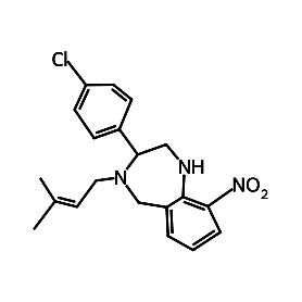 CC(C)=CCN1Cc2cccc([N+](=O)[O-])c2NCC1c1ccc(Cl)cc1